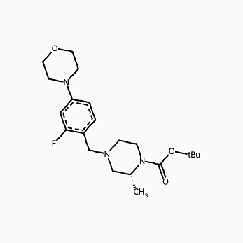 C[C@@H]1CN(Cc2ccc(N3CCOCC3)cc2F)CCN1C(=O)OC(C)(C)C